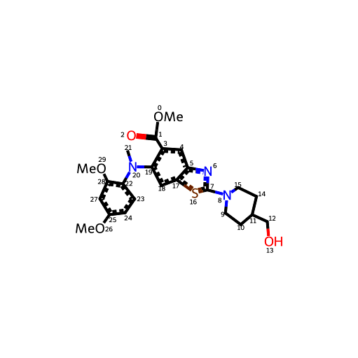 COC(=O)c1cc2nc(N3CCC(CO)CC3)sc2cc1N(C)c1ccc(OC)cc1OC